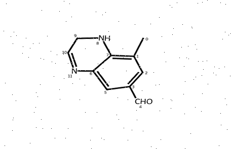 Cc1cc(C=O)cc2c1NCC=N2